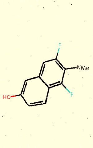 CNc1c(F)cc2cc(O)ccc2c1F